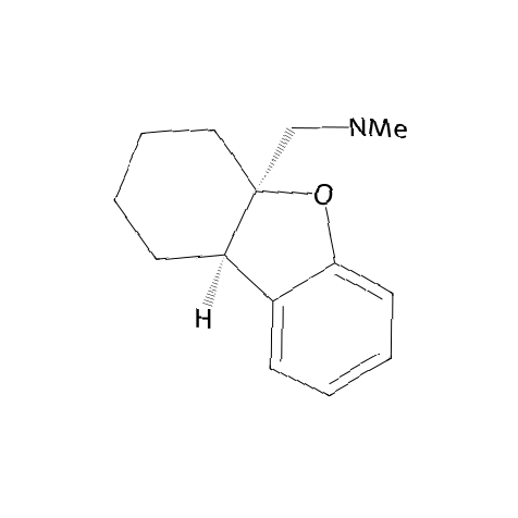 CNC[C@@]12CCCC[C@@H]1c1ccccc1O2